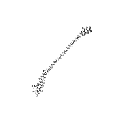 CCCN(OCC)C(=O)C1=Cc2ccc(-c3cnc(CNC(=O)CCOCCOCCOCCOCCOCCOCCOCCOCCOCCOCCC(=O)Oc4c(F)c(F)c([SH](=O)=O)c(F)c4F)cc3C)cc2N=C(N)C1